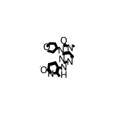 COc1ccc(Nc2ncc3c(n2)n(C2CCOCC2)c(=O)n3C)c(C)n1